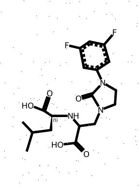 CC(C)C[C@H](NC(CN1CCN(c2cc(F)cc(F)c2)C1=O)C(=O)O)C(=O)O